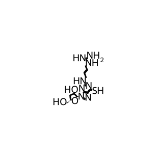 N=C(N)NC/C=C/CNc1nc(S)c2ncn([C@@H]3O[C@H](CO)CC3O)c2n1